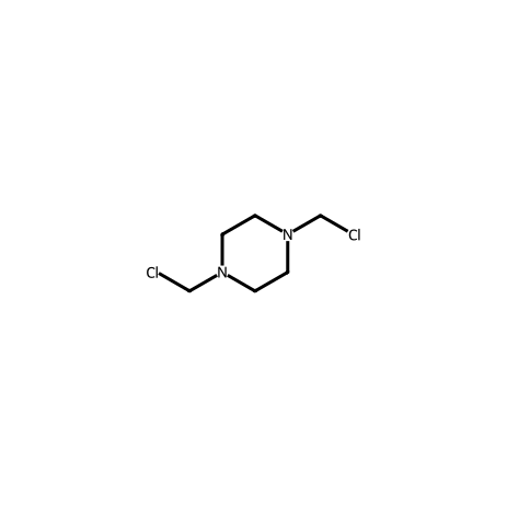 ClCN1CCN(CCl)CC1